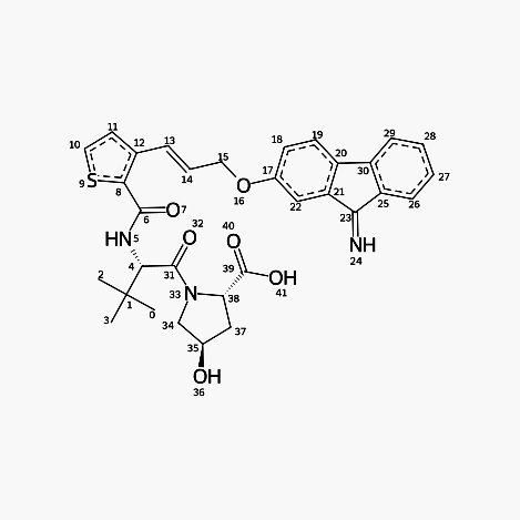 CC(C)(C)[C@H](NC(=O)c1sccc1/C=C/COc1ccc2c(c1)C(=N)c1ccccc1-2)C(=O)N1C[C@H](O)C[C@H]1C(=O)O